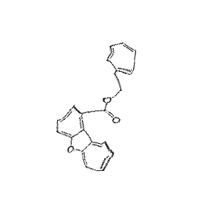 O=C(OCc1ccccc1)c1cccc2oc3ccccc3c12